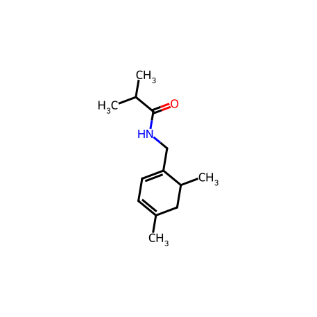 CC1=CC=C(CNC(=O)C(C)C)C(C)C1